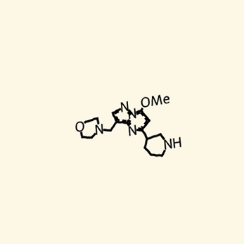 COc1cc(C2CCCNC2)nc2c(CN3CCOCC3)cnn12